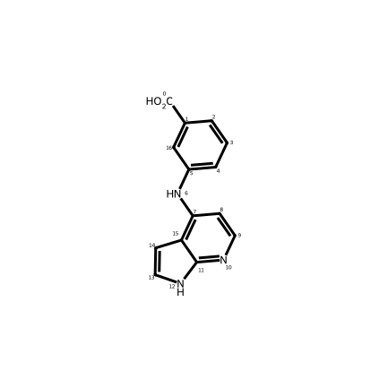 O=C(O)c1cccc(Nc2ccnc3[nH]ccc23)c1